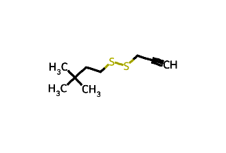 C#CCSSCCC(C)(C)C